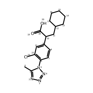 Cc1nnnn1-c1ccc(C(CC2CCCCC2)C(=O)O)cc1Cl